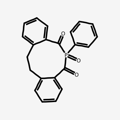 O=C1c2ccccc2CCc2ccccc2C(=O)P1(=O)c1ccccc1